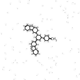 C=C1CCC(C2CC(C3CCC4SC5C=CCCC5C4C3)CC(C3CCC4SC5CCCCC5C4C3)C2)CC1